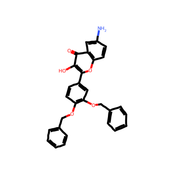 Nc1ccc2oc(-c3ccc(OCc4ccccc4)c(OCc4ccccc4)c3)c(O)c(=O)c2c1